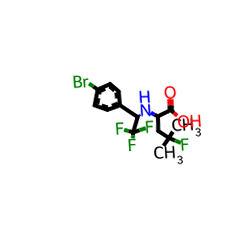 CC(C)(F)CC(N[C@@H](c1ccc(Br)cc1)C(F)(F)F)C(=O)O